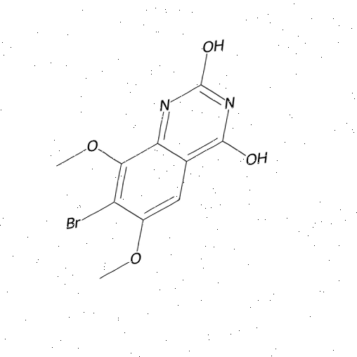 COc1cc2c(O)nc(O)nc2c(OC)c1Br